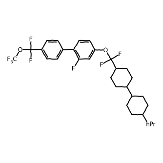 CCCC1CCC(C2CCC(C(F)(F)Oc3ccc(-c4ccc(C(F)(F)OC(F)(F)F)cc4)c(F)c3)CC2)CC1